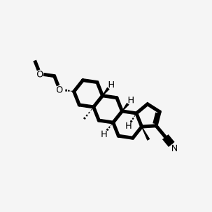 COCO[C@@H]1CC[C@@H]2C[C@H]3[C@@H](CC[C@@]4(C)C(C#N)=CC[C@H]34)C[C@@]2(C)C1